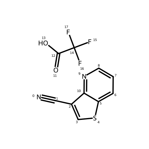 N#Cc1csc2cccnc12.O=C(O)C(F)(F)F